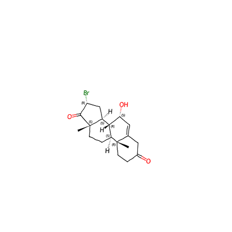 C[C@]12CCC(=O)CC1=C[C@@H](O)[C@@H]1[C@@H]2CC[C@]2(C)C(=O)[C@H](Br)C[C@@H]12